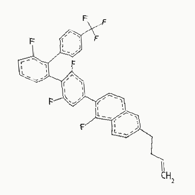 C=CCCc1ccc2c(F)c(-c3cc(F)c(-c4cccc(F)c4-c4ccc(C(F)(F)F)cc4)c(F)c3)ccc2c1